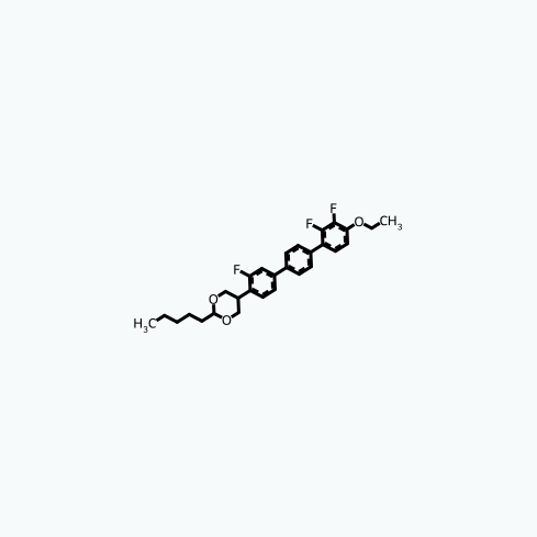 CCCCCC1OCC(c2ccc(-c3ccc(-c4ccc(OCC)c(F)c4F)cc3)cc2F)CO1